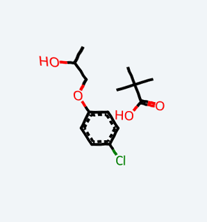 CC(C)(C)C(=O)O.CC(O)COc1ccc(Cl)cc1